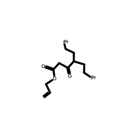 C=CCOC(=O)CC(=O)C(CCC(C)C)CCC(C)C